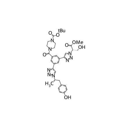 COC(=O)[C@H](CO)n1cc(-c2cc(C(=O)N3CCN(C(=O)OC(C)(C)C)CC3)cc(-c3cn([C@H](C)Cc4ccc(O)cc4)nn3)c2)nn1